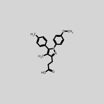 COc1ccc(-n2nc(CCC(=O)O)c(C)c2-c2ccc(C)cc2)cc1